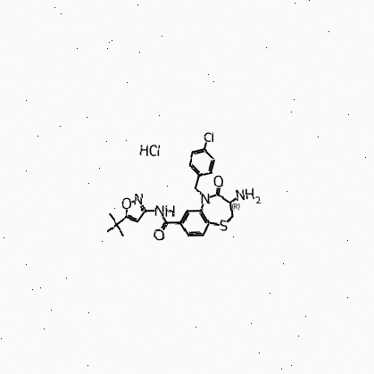 CC(C)(C)c1cc(NC(=O)c2ccc3c(c2)N(Cc2ccc(Cl)cc2)C(=O)[C@@H](N)CS3)no1.Cl